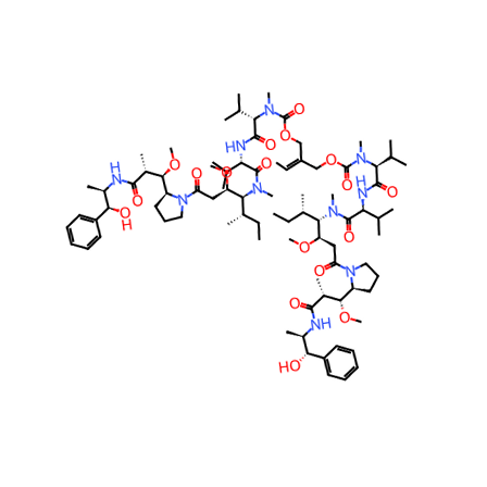 CC=C(COC(=O)N(C)[C@H](C(=O)N[C@H](C(=O)N(C)[C@@H]([C@@H](C)CC)[C@@H](CC(=O)N1CCC[C@H]1[C@H](OC)[C@@H](C)C(=O)N[C@H](C)[C@@H](O)c1ccccc1)OC)C(C)C)C(C)C)COC(=O)N(C)[C@H](C(=O)N[C@H](C(=O)N(C)[C@@H]([C@@H](C)CC)[C@@H](CC(=O)N1CCC[C@H]1[C@H](OC)[C@@H](C)C(=O)N[C@H](C)[C@@H](O)c1ccccc1)OC)C(C)C)C(C)C